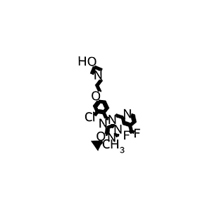 CC1(Oc2ncnc3c2nc(-c2ccc(OCCCN4CC(O)C4)cc2Cl)n3Cc2cc(C(F)F)ccn2)CC1